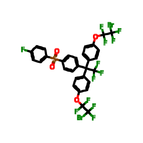 O=S(=O)(c1ccc(F)cc1)c1ccc(C(c2ccc(OC(F)(F)C(F)(F)Br)cc2)(c2ccc(OC(F)(F)C(F)(F)Br)cc2)C(F)(F)F)cc1